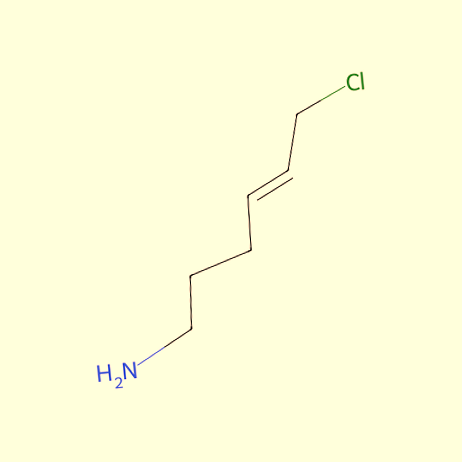 NCCC/C=C/CCl